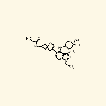 CCC(=O)NC1CC2(CC(c3cnc4c(c(C)nn4CC)c3NC3CCS(O)(O)CC3)=NO2)C1